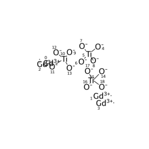 [Gd+3].[Gd+3].[Gd+3].[Gd+3].[O-][Ti]([O-])([O-])[O-].[O-][Ti]([O-])([O-])[O-].[O-][Ti]([O-])([O-])[O-]